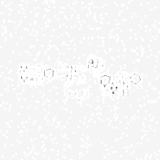 COc1cc(CC(=O)N(CCN(C(=O)N(CCC(=O)O)CCc2ccc(OC)c(OC)c2)C(C)C)C(C)C)ccc1NC(=O)Nc1ccccc1C